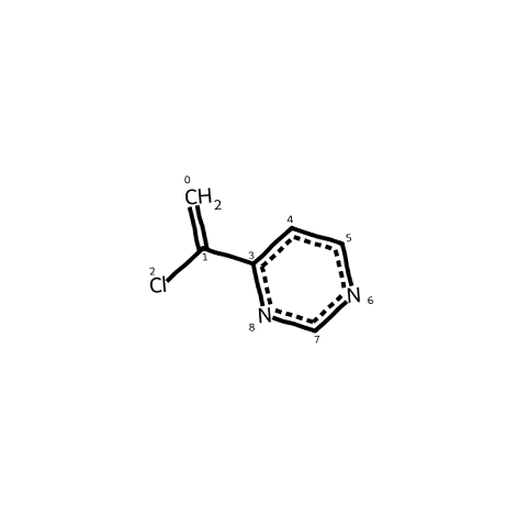 C=C(Cl)c1ccncn1